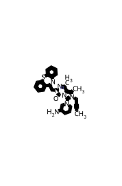 CC#CCn1c(N2CCCC(N)C2)nc(/C(C)=N\N(C=O)CC2=Nc3ccccc3Sc3ccccc32)c1C